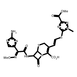 CON=C(C(=O)NC1C(=O)N2C(C(=O)O)=C(C=CSc3nc(C(=O)OC)nn3C)CSC12)c1csc(N)n1